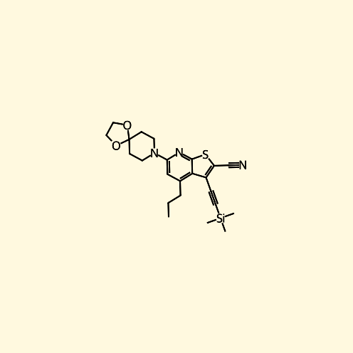 CCCc1cc(N2CCC3(CC2)OCCO3)nc2sc(C#N)c(C#C[Si](C)(C)C)c12